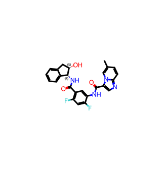 Cc1ccc2ncc(C(=O)Nc3cc(C(=O)N[C@@H]4c5ccccc5C[C@@H]4O)c(F)cc3F)n2c1